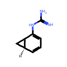 N=C(N)NC1=CC=C[C@H]2CC12